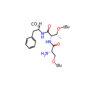 C[C@@H](OC(C)(C)C)[C@H](NC(=O)[C@@H](N)COC(C)(C)C)C(=O)N[C@@H](Cc1ccccc1)C(=O)O